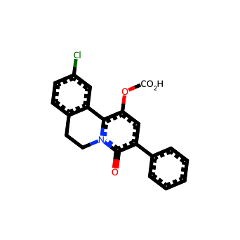 O=C(O)Oc1cc(-c2ccccc2)c(=O)n2c1-c1cc(Cl)ccc1CC2